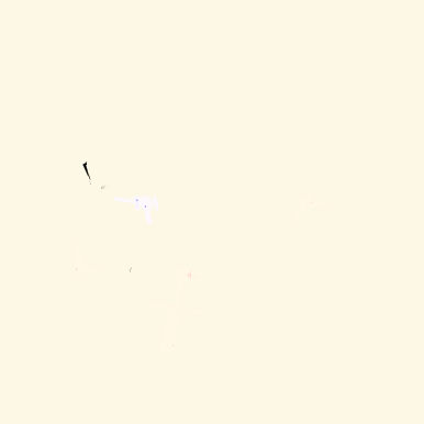 COc1ccc(CP(=O)(O)C[C@H]2CN[C@H](Cc3ccccc3)CO2)cc1